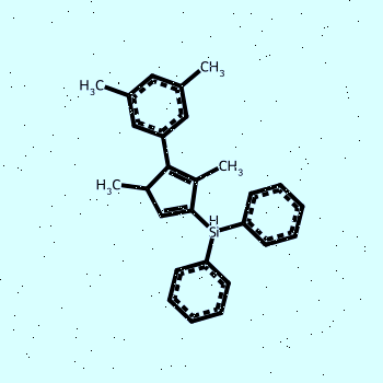 CC1=C(c2cc(C)cc(C)c2)C(C)C=C1[SiH](c1ccccc1)c1ccccc1